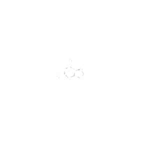 CC1CCN1c1cc(N2CC3C(CC(=O)O)C3C2)n2nccc2n1